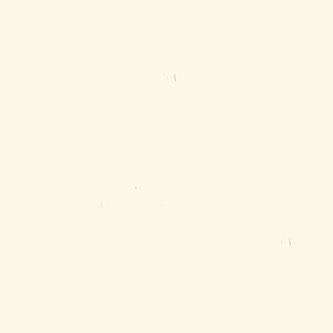 COC(=O)C(c1ccc(O)cc1)c1ccc(O)cc1